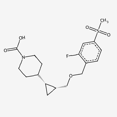 CS(=O)(=O)c1ccc(COC[C@@H]2C[C@@H]2C2CCN(C(=O)O)CC2)c(F)c1